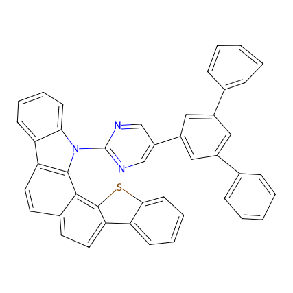 c1ccc(-c2cc(-c3ccccc3)cc(-c3cnc(-n4c5ccccc5c5ccc6ccc7c8ccccc8sc7c6c54)nc3)c2)cc1